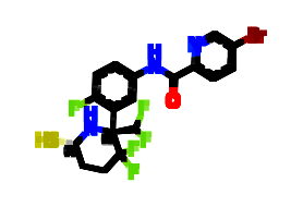 O=C(Nc1ccc(F)c([C@@]2(C(F)F)N[C@@H](S)CCC2(F)F)c1)c1ccc(Br)cn1